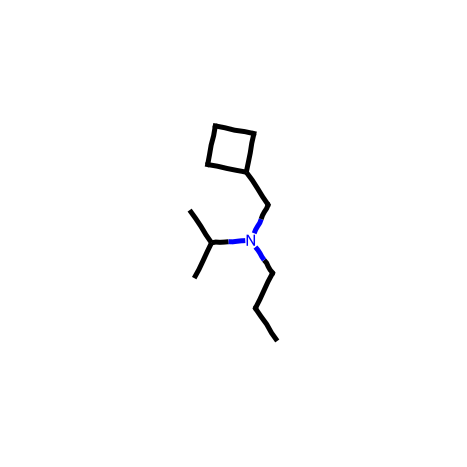 CCCN(CC1CCC1)C(C)C